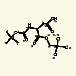 CC(C)(C)OC(=O)NC(CC(=O)O)C(=O)OCC(Cl)(Cl)Cl